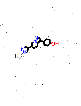 Cn1cc(-c2ccc3c(C4CCC(O)CC4)cnn3c2)cn1